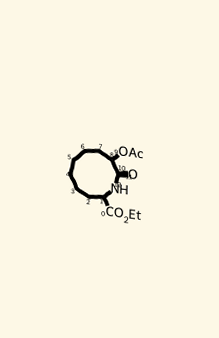 CCOC(=O)C1CCCCCCC(OC(C)=O)C(=O)N1